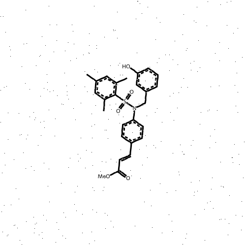 COC(=O)/C=C/c1ccc(N(Cc2cccc(O)c2)S(=O)(=O)c2c(C)cc(C)cc2C)cc1